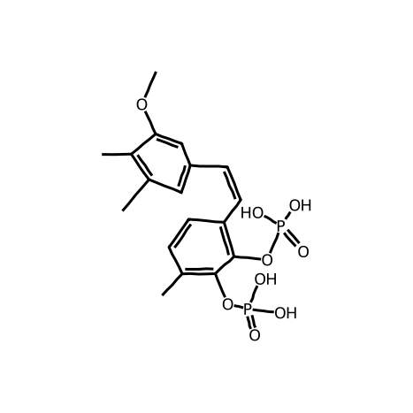 COc1cc(/C=C\c2ccc(C)c(OP(=O)(O)O)c2OP(=O)(O)O)cc(C)c1C